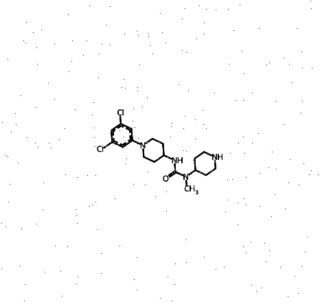 CN(C(=O)NC1CCN(c2cc(Cl)cc(Cl)c2)CC1)C1CCNCC1